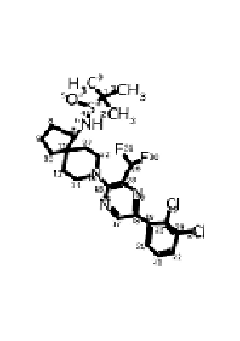 CC(C)(C)[S+]([O-])N[C@@H]1CCCC12CCN(c1ncc(-c3cccc(Cl)c3Cl)nc1C(F)F)CC2